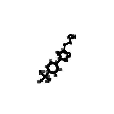 OCCc1nc(-c2ccc(C(F)(F)F)cc2)no1